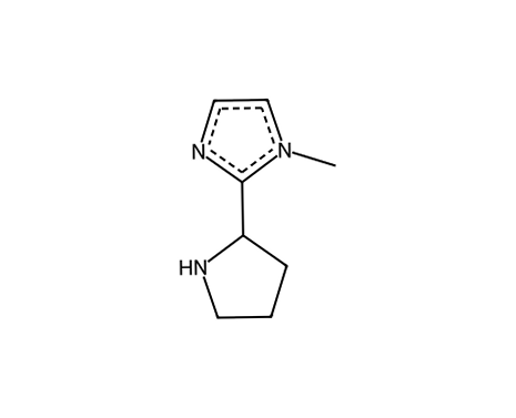 Cn1ccnc1C1CCCN1